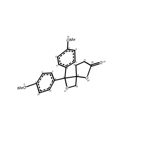 COc1ccc(C2(c3ccc(OC)cc3)OCC23CCC(=O)O3)cc1